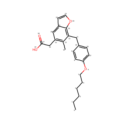 CCCCCCOc1ccc(Cc2c(C)c(CC(=O)O)cc3ccoc23)cc1